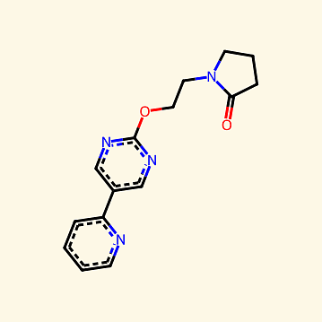 O=C1CCCN1CCOc1ncc(-c2ccccn2)cn1